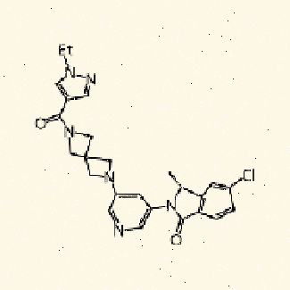 CCn1cc(C(=O)N2CC3(C2)CN(c2cncc(N4C(=O)c5ccc(Cl)cc5[C@@H]4C)c2)C3)cn1